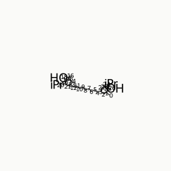 Cc1cc(CCCCCCCCCc2cc(C)c(O)c(C(C)C)c2)cc(C(C)C)c1O